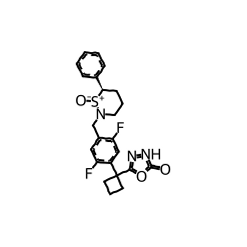 O=c1[nH]nc(C2(c3cc(F)c(CN4CCC[C@H](c5ccccc5)[S+]4[O-])cc3F)CCC2)o1